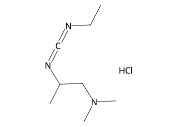 CCN=C=NC(C)CN(C)C.Cl